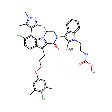 Cc1cc(OCCCc2c3n(c4c(-c5c(C)nn(C)c5C)c(Cl)ccc24)[C@H](C)CN(c2c(C(=O)O)n(CCNC(=O)OC(C)(C)C)c4ccccc24)C3=O)cc(C)c1Cl